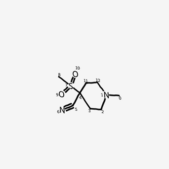 CN1CCC(C#N)(S(C)(=O)=O)CC1